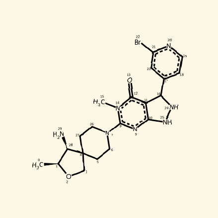 C[C@@H]1OCC2(CCN(c3nc4c(c(=O)n3C)C(c3ccnc(Br)c3)NN4)CC2)[C@@H]1N